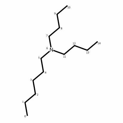 CC[CH]CCCN(CCCC)CCCC